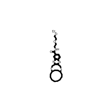 CCOCCOCCNC(=O)c1ccc2nc3c(nc2c1)CSC1CCCCCCCCC(CC1)SC3